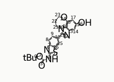 CC(C)(C)OC(=O)Nc1nc2ccc(-c3nc4cc(O)cc5c4n3CCCO5)cc2s1